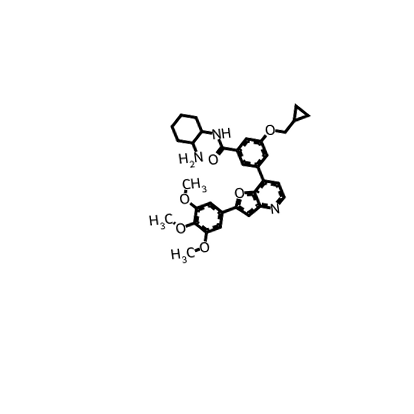 COc1cc(-c2cc3nccc(-c4cc(OCC5CC5)cc(C(=O)NC5CCCCC5N)c4)c3o2)cc(OC)c1OC